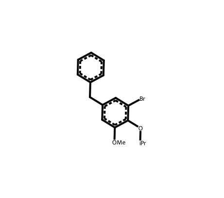 COc1cc(Cc2ccccc2)cc(Br)c1OC(C)C